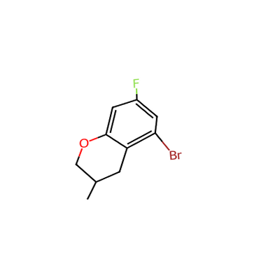 CC1COc2cc(F)cc(Br)c2C1